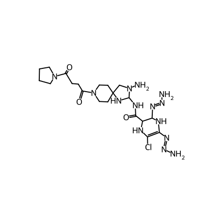 NN=NC1=C(Cl)NC(C(=O)NC2NC3(CCN(C(=O)CCC(=O)N4CCCC4)CC3)CN2N)C(N=NN)N1